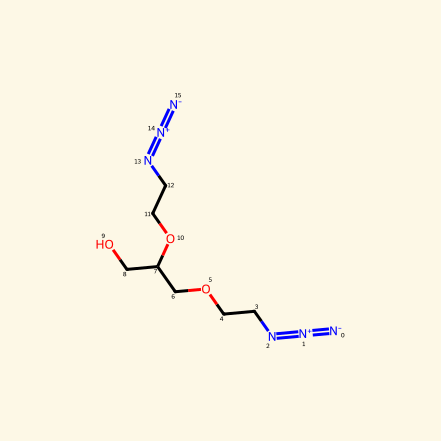 [N-]=[N+]=NCCOCC(CO)OCCN=[N+]=[N-]